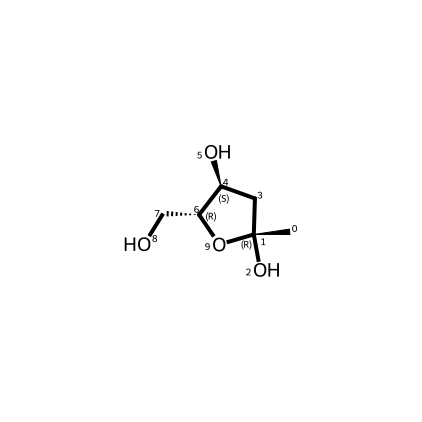 C[C@]1(O)C[C@H](O)[C@@H](CO)O1